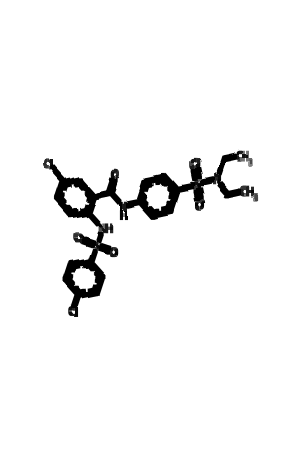 CCN(CC)S(=O)(=O)c1ccc(NC(=O)c2cc(Cl)ccc2NS(=O)(=O)c2ccc(Cl)cc2)cc1